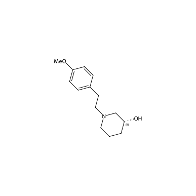 COc1ccc(CCN2CCC[C@@H](O)C2)cc1